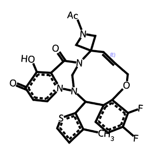 CC(=O)N1CC2(/C=C/COc3c(ccc(F)c3F)C(c3sccc3C)N3CN2C(=O)c2c(O)c(=O)ccn23)C1